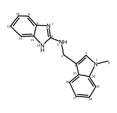 Cn1cc(CNc2nc3ccccc3[nH]2)c2ccccc21